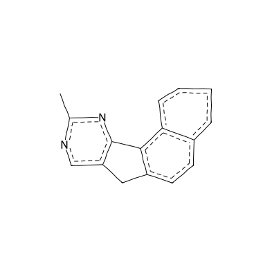 Cc1ncc2c(n1)-c1c(ccc3ccccc13)C2